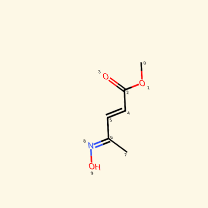 COC(=O)/C=C/C(C)=N/O